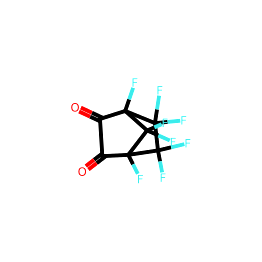 O=C1C(=O)C2(F)C(F)(F)C(F)(F)C1(F)C2(F)F